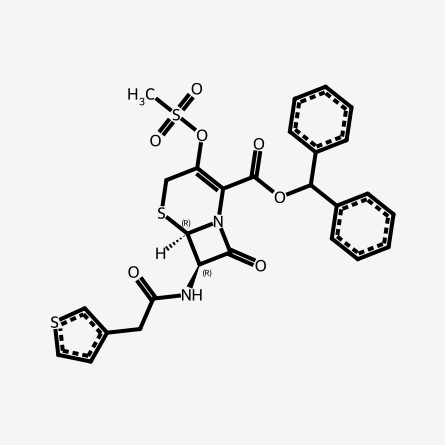 CS(=O)(=O)OC1=C(C(=O)OC(c2ccccc2)c2ccccc2)N2C(=O)[C@@H](NC(=O)Cc3ccsc3)[C@H]2SC1